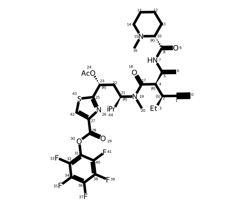 C#C[C@@H](CC)[C@H](C(=C)NC(=O)[C@H]1CCCCN1C)C(=O)N(C)[C@H](C[C@@H](OC(C)=O)c1nc(C(=O)Oc2c(F)c(F)c(F)c(F)c2F)cs1)C(C)C